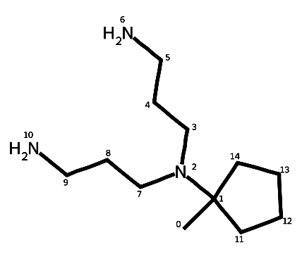 CC1(N(CCCN)CCCN)CCCC1